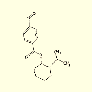 CC(C)[C@@H]1CCCC[C@@H]1OC(=O)c1ccc(N=O)cc1